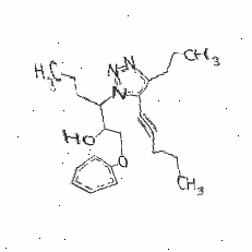 CCCC#Cc1c(CCC)nnn1C(CCC)C(O)COc1ccccc1